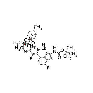 CC1C2CN(c3ncnc4c(F)c(-c5ccc(F)c6sc(NC(=O)OC(C)(C)C)c(C#N)c56)c(Cl)cc34)CC1N2C(=O)OC(C)(C)C